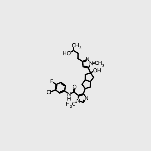 CC(O)CCc1cc(C2(O)CC3CC(c4ncn(C)c4C(=O)Nc4ccc(F)c(Cl)c4)CC3C2)n(C)n1